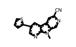 Cn1c2cnc(C#N)cc2c2cc(-c3cccs3)cnc21